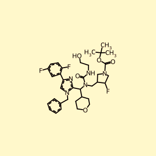 CC(C)(C)OC(=O)N1CC(F)C(CN(C(=O)NCCO)C(c2nc(-c3cc(F)ccc3F)cn2Cc2ccccc2)C2CCOCC2)C1